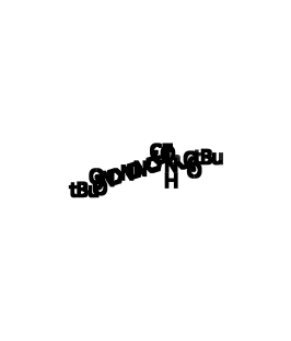 CC(C)(C)OC(=O)CCNC(=O)c1ccc(N2CCN(C3CCN(C(=O)OC(C)(C)C)CC3)CC2)cc1C(F)(F)F